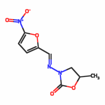 CC1CN(/N=C/c2ccc([N+](=O)[O-])o2)C(=O)O1